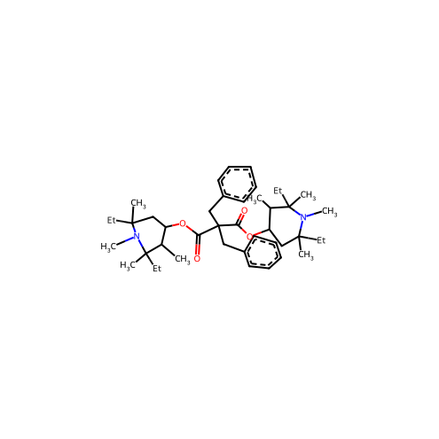 CCC1(C)CC(OC(=O)C(Cc2ccccc2)(Cc2ccccc2)C(=O)OC2CC(C)(CC)N(C)C(C)(CC)C2C)C(C)C(C)(CC)N1C